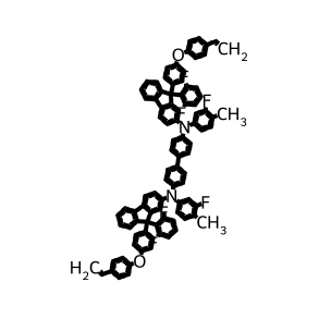 C=Cc1ccc(Oc2ccc(C3(c4c(F)cccc4F)c4ccccc4-c4ccc(N(c5ccc(-c6ccc(N(c7ccc(C)c(F)c7)c7ccc8c(c7)C(c7ccc(Oc9ccc(C=C)cc9)cc7)(c7c(F)cccc7F)c7ccccc7-8)cc6)cc5)c5ccc(C)c(F)c5)cc43)cc2)cc1